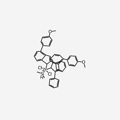 COc1ccc(-c2cccc3c2C=C(c2ccccc2)[CH]3[Zr]([Cl])([Cl])([CH]2C(c3ccccc3)=Cc3c(-c4ccc(OC)cc4)cccc32)[SiH](C)C)cc1